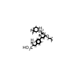 FC1(F)CCCCC1.Nc1nc(OCCF)cc(-c2ccc(C[C@H](N)C(=O)O)cc2)n1